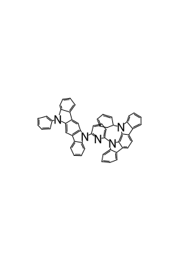 C1=CCC(n2c3ccccc3c3ccc4c5ccccc5n(-c5cccc(-n6c7ccccc7c7cc8c(cc76)c6ccccc6n8-c6ccccc6)n5)c4c32)C=C1